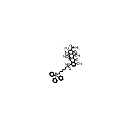 C[C@H]1c2c(NC(=O)CCCCCCC[PH](c3ccccc3)(c3ccccc3)c3ccccc3)ccc(O)c2C(=O)C2=C(O)[C@]3(O)C(=O)C(C(N)=O)=C(O)[C@@H](N(C)C)[C@@H]3[C@@H](O)[C@@H]21